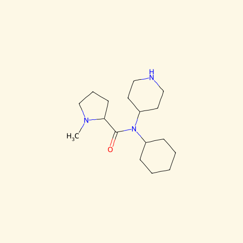 CN1CCCC1C(=O)N(C1CCCCC1)C1CCNCC1